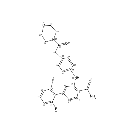 NC(=O)c1nnc(-c2c(F)cccc2F)cc1Nc1ccc(CC(=O)N2CCOCC2)cc1